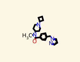 CN(C(=O)c1ccc(Cn2cccn2)cc1)C1CCN(C2CCC2)CC1